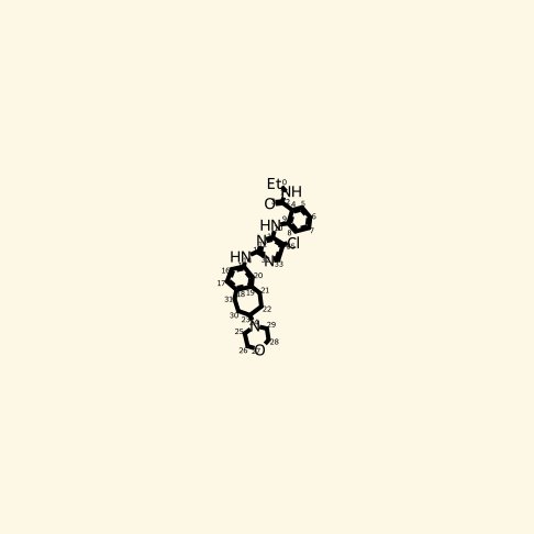 CCNC(=O)c1ccccc1Nc1nc(Nc2ccc3c(c2)CCC(N2CCOCC2)CC3)ncc1Cl